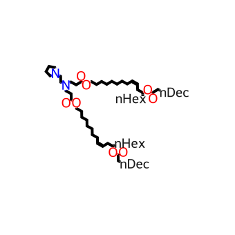 CCCCCCCCCCCC(=O)OC(C/C=C\CCCCCCCCOC(=O)CCN(CCC(=O)OCCCCCCCC/C=C\CC(CCCCCC)OC(=O)CCCCCCCCCCC)CCN1CCCC1)CCCCCC